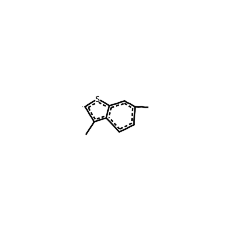 Cc1ccc2c(C)[c]sc2c1